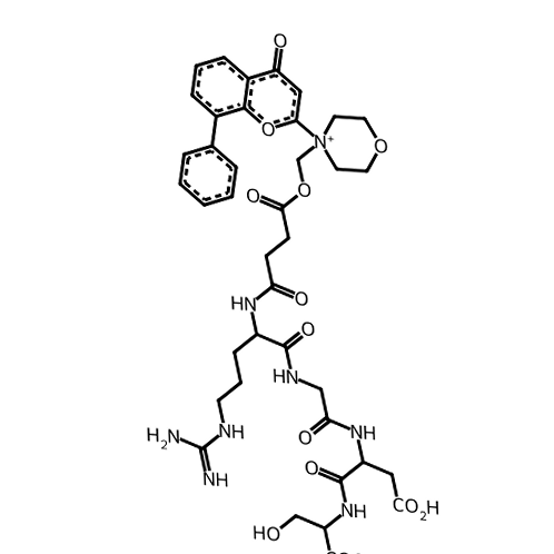 N=C(N)NCCCC(NC(=O)CCC(=O)OC[N+]1(c2cc(=O)c3cccc(-c4ccccc4)c3o2)CCOCC1)C(=O)NCC(=O)NC(CC(=O)O)C(=O)NC(CO)C(=O)[O-]